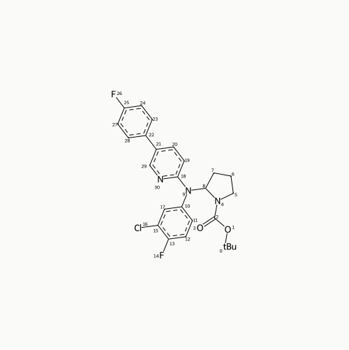 CC(C)(C)OC(=O)N1CCCC1N(c1ccc(F)c(Cl)c1)c1ccc(-c2ccc(F)cc2)cn1